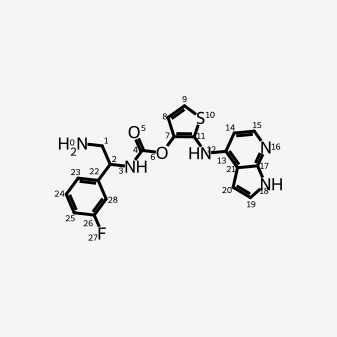 NCC(NC(=O)Oc1ccsc1Nc1ccnc2[nH]ccc12)c1cccc(F)c1